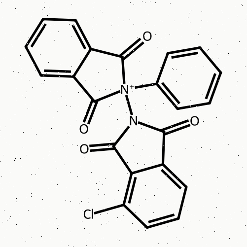 O=C1c2cccc(Cl)c2C(=O)N1[N+]1(c2ccccc2)C(=O)c2ccccc2C1=O